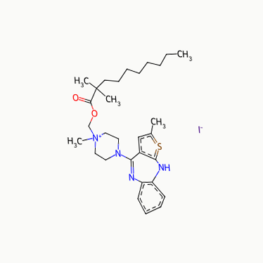 CCCCCCCCC(C)(C)C(=O)OC[N+]1(C)CCN(C2=Nc3ccccc3Nc3sc(C)cc32)CC1.[I-]